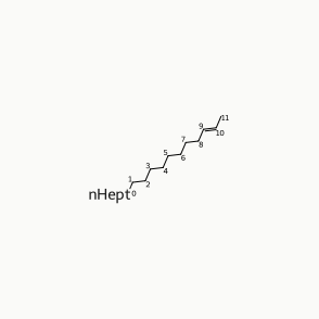 [CH2]CCCCCCCCCCCCCCC=CC